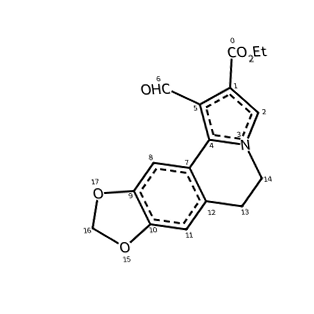 CCOC(=O)c1cn2c(c1C=O)-c1cc3c(cc1CC2)OCO3